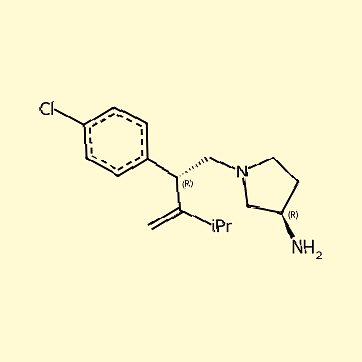 C=C(C(C)C)[C@@H](CN1CC[C@@H](N)C1)c1ccc(Cl)cc1